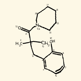 CC(C)(Cc1ccccc1O)C(=O)N1CCCCC1